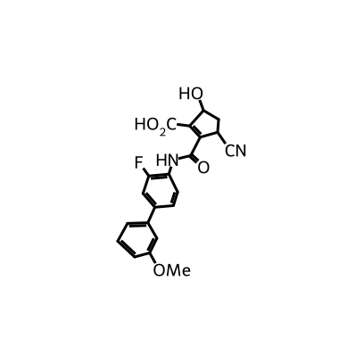 COc1cccc(-c2ccc(NC(=O)C3=C(C(=O)O)C(O)CC3C#N)c(F)c2)c1